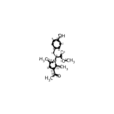 COC(=O)[C@H](Cc1ccc(O)cc1)n1c(C)cc(C(C)=O)c1C